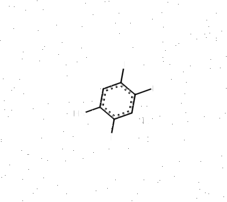 Sc1cc(I)c(I)cc1I.[Na]